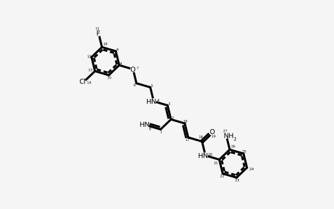 N=CC(=C\NCCOc1cc(F)cc(Cl)c1)/C=C/C(=O)Nc1ccccc1N